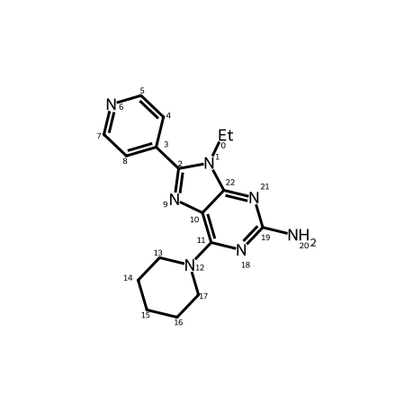 CCn1c(-c2ccncc2)nc2c(N3CCCCC3)nc(N)nc21